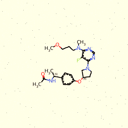 COCCCN(C)c1ncnc(N2CC[C@@H](Oc3ccc([C@H](C)NC(C)=O)cc3)C2)c1F